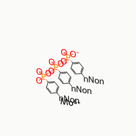 CCCCCCCCCc1ccc(P(=O)([O-])[O-])cc1.CCCCCCCCCc1ccc(P(=O)([O-])[O-])cc1.CCCCCCCCCc1ccc(P(=O)([O-])[O-])cc1.[Mo+6]